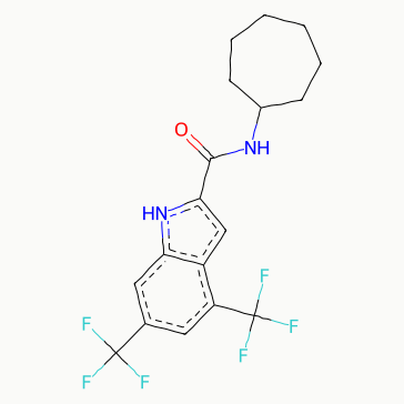 O=C(NC1CCCCCC1)c1cc2c(C(F)(F)F)cc(C(F)(F)F)cc2[nH]1